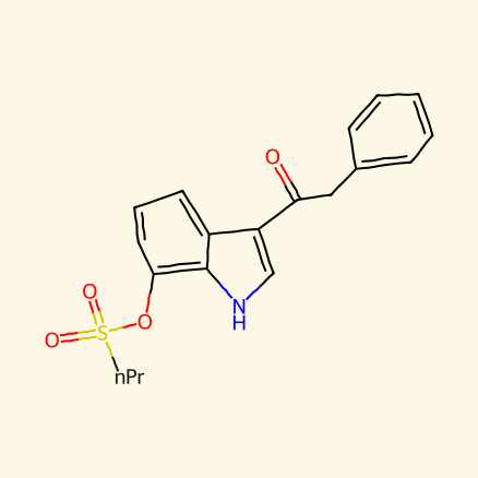 CCCS(=O)(=O)Oc1cccc2c(C(=O)Cc3ccccc3)c[nH]c12